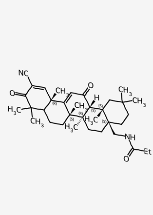 CCC(=O)NC[C@]12CCC(C)(C)C[C@@]1(C)[C@H]1C(=O)C=C3[C@@]4(C)C=C(C#N)C(=O)C(C)(C)C4CC[C@@]3(C)[C@]1(C)CC2